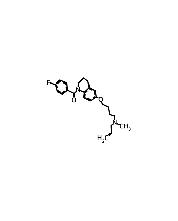 C=CCN(C)CCCCOc1ccc2c(c1)CCCN2C(=O)c1ccc(F)cc1